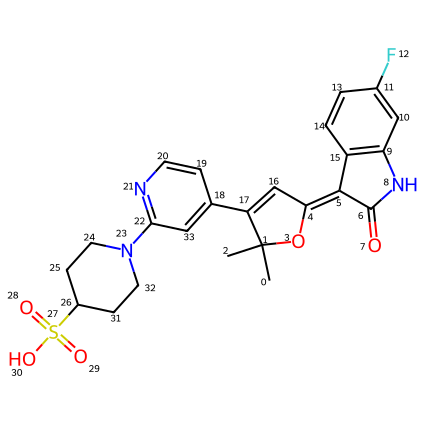 CC1(C)OC(=C2C(=O)Nc3cc(F)ccc32)C=C1c1ccnc(N2CCC(S(=O)(=O)O)CC2)c1